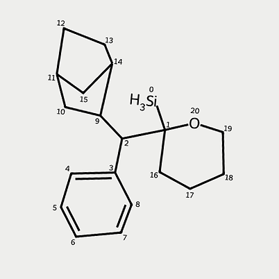 [SiH3]C1(C(c2ccccc2)C2CC3CCC2C3)CCCCO1